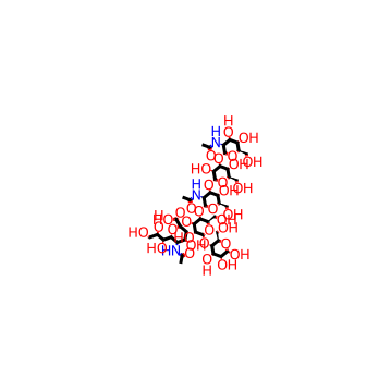 CC(=O)N[C@H]1[C@H](O[C@H]2[C@@H](O)[C@@H](CO)O[C@@H](O[C@H]3[C@@H](O)[C@@H](CO)O[C@@H](O[C@@H]4[C@H](O[C@]5(C(=O)O)C[C@H](O)[C@@H](NC(C)=O)[C@H]([C@H](O)[C@H](O)CO)O5)[C@@H](O)[C@H](O[C@H]5[C@H](O)[C@@H](O)[C@H](O)O[C@@H]5CO)O[C@@H]4CO)[C@@H]3NC(C)=O)[C@@H]2O)O[C@H](CO)[C@H](O)[C@@H]1O